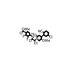 CCC(C(=O)Nc1ccc(C(=O)OC)c(F)c1F)n1cc(OC)c(-c2cc(Cl)ccc2C#N)cc1=O